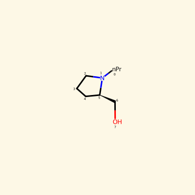 [CH2]CCN1CCC[C@@H]1CO